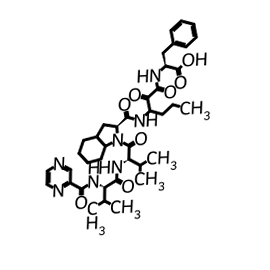 CCCC(NC(=O)[C@@H]1CC2CCCCC2N1C(=O)[C@@H](NC(=O)[C@@H](NC(=O)c1cnccn1)C(C)C)C(C)C)C(=O)C(=O)N[C@@H](Cc1ccccc1)C(=O)O